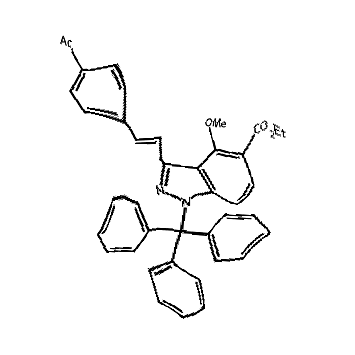 CCOC(=O)c1ccc2c(c(C=Cc3ccc(C(C)=O)cc3)nn2C(c2ccccc2)(c2ccccc2)c2ccccc2)c1OC